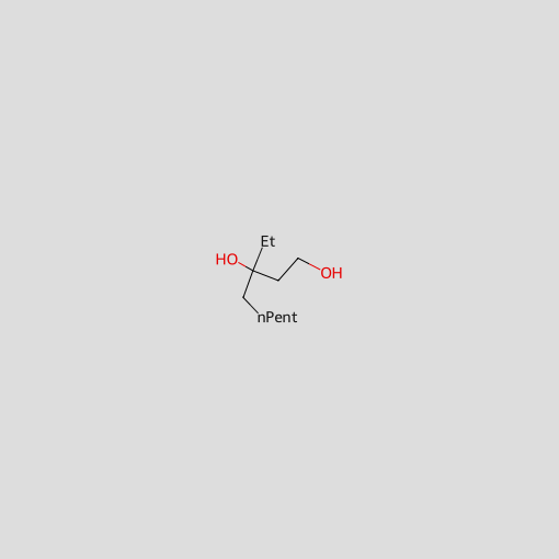 CCCCCCC(O)(CC)CCO